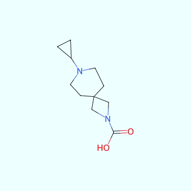 O=C(O)N1CC2(CCN(C3CC3)CC2)C1